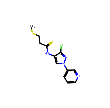 FC(F)(F)SCCC(=S)Nc1cn(-c2cccnc2)nc1Cl